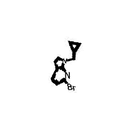 Brc1ccc2ccn(CC3CC3)c2n1